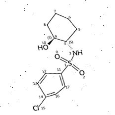 O=S(=O)(N[C@H]1CCCC[C@@H]1O)c1ccc(Cl)cc1